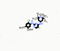 COc1cc(Cl)c(Nc2ncc(F)c(NC3CC(C)(C)N(C)C(C)(C)C3)n2)cc1OC